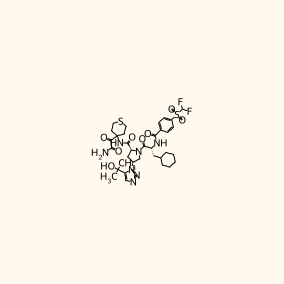 CC(C)(O)c1cnnn1[C@H]1C[C@@H](C(=O)NC2(C(=O)C(N)=O)CCSCC2)N(C(=O)[C@@H](CC2CCCCC2)NC(=O)c2ccc(S(=O)(=O)C(F)F)cc2)C1